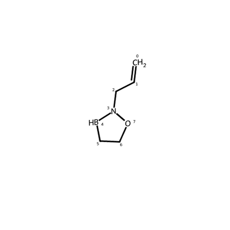 C=CCN1BCCO1